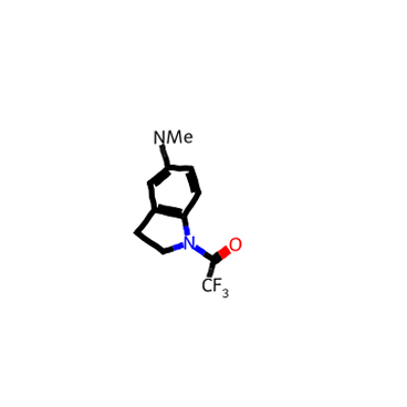 CNc1ccc2c(c1)CCN2C(=O)C(F)(F)F